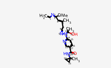 C=C/N=C(\C=C(/C)C/C=N\N(C(=C)O)c1ccc(C(=O)NC2(C)CC2)cn1)OC